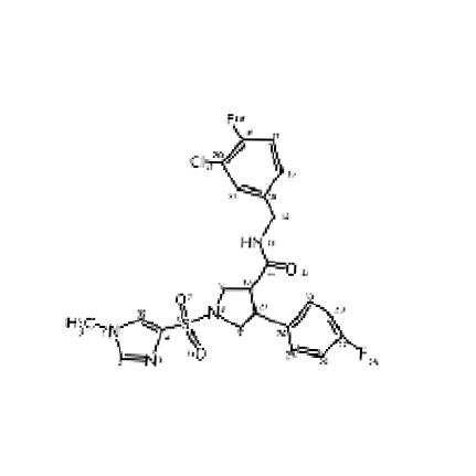 Cn1cnc(S(=O)(=O)N2CC(C(=O)NCc3ccc(F)c(Cl)c3)C(c3ccc(F)cc3)C2)c1